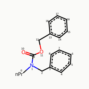 CCCN(Cc1ccccc1)C(=O)OCc1ccccc1